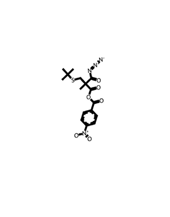 CC(C)(C)SCC(C)(C(=O)N=[N+]=[N-])C(=O)OC(=O)c1ccc([N+](=O)[O-])cc1